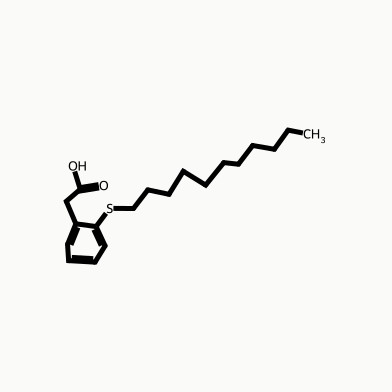 CCCCCCCCCCCSc1ccccc1CC(=O)O